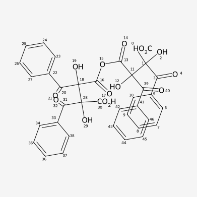 O=C(O)C(O)(C(=O)c1ccccc1)C(O)(C(=O)OC(=O)C(O)(C(=O)c1ccccc1)C(O)(C(=O)O)C(=O)c1ccccc1)C(=O)c1ccccc1